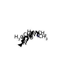 C=C(/C=C\C)Cn1cnc(C(=O)N[C@H]2CCn3nc(C4CC4)cc3N(C)C2C)n1